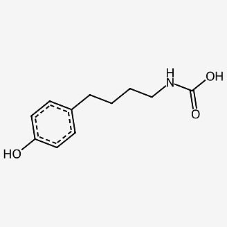 O=C(O)NCCCCc1ccc(O)cc1